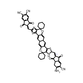 N#CC1=C(N)CC2C(=O)/C(=C\C3NC4=C(S3)C3=CC5C=C6OC7(CCCCC7)c7nc(C=C8C(=O)c9cc(C#N)c(C#N)cc9C8=O)sc7C6=CC5C=C3OC43CCCCC3)C(=O)C2=C1